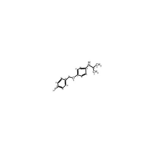 CC(C)Nc1ccc(OCc2ccc(F)cc2)cc1